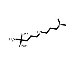 COC([SiH3])(CCCNCCCN(C)C)OC